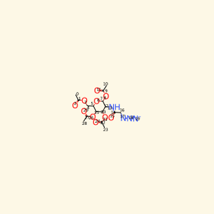 CC(=O)OCC1OC(OC(C)=O)C(NC(=O)CN=[N+]=[N-])C(OC(C)=O)C1OC(C)=O